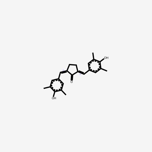 Cc1cc(/C=C2/CC/C(=C\c3cc(C)c(O)c(C)c3)C2=O)cc(C)c1O